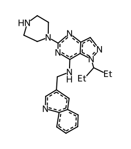 CCC(CC)n1ncc2nc(N3CCNCC3)nc(NCc3cnc4ccccc4c3)c21